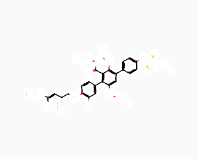 COC(=O)c1c(OC)c(-c2ccc(OS(C)(=O)=O)cc2)cc(OC)c1-c1ccc(OCCC=C(C)C)c(F)c1